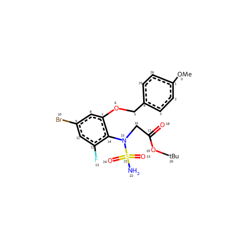 COc1ccc(COc2cc(Br)cc(F)c2N(CC(=O)OC(C)(C)C)S(N)(=O)=O)cc1